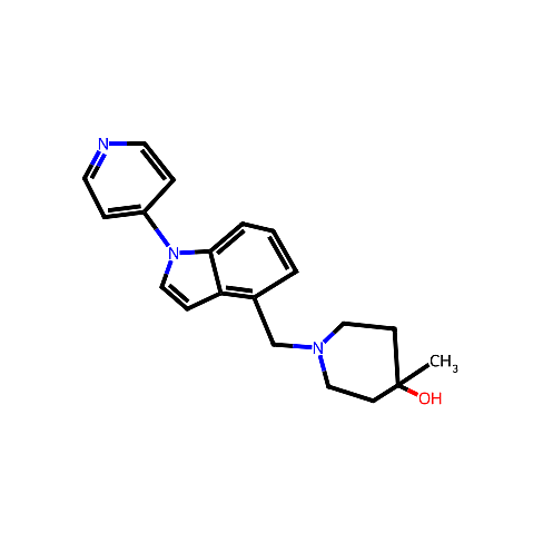 CC1(O)CCN(Cc2cccc3c2ccn3-c2ccncc2)CC1